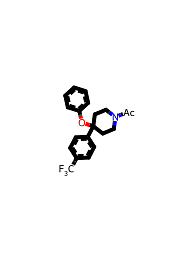 CC(=O)N1CCC(Oc2ccccc2)(c2ccc(C(F)(F)F)cc2)CC1